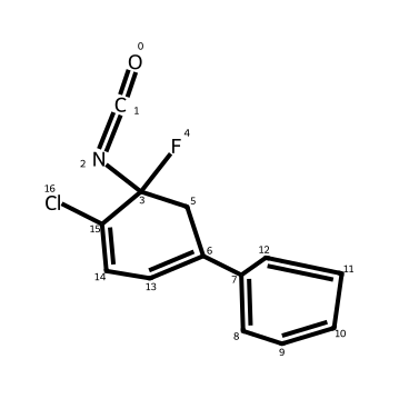 O=C=NC1(F)CC(c2ccccc2)=CC=C1Cl